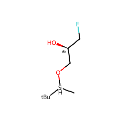 C[SiH](OC[C@@H](O)CF)C(C)(C)C